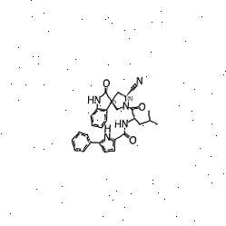 CC(C)CC(NC(=O)c1ccc(-c2ccccc2)[nH]1)C(=O)N1C[C@]2(C[C@H]1C#N)C(=O)Nc1ccccc12